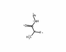 CC(C)NC(=O)C(C)F